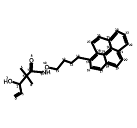 C=CC(O)C(C)(C)C(=O)NOCCCCc1ccc2ccc3cccc4ccc1c2c34